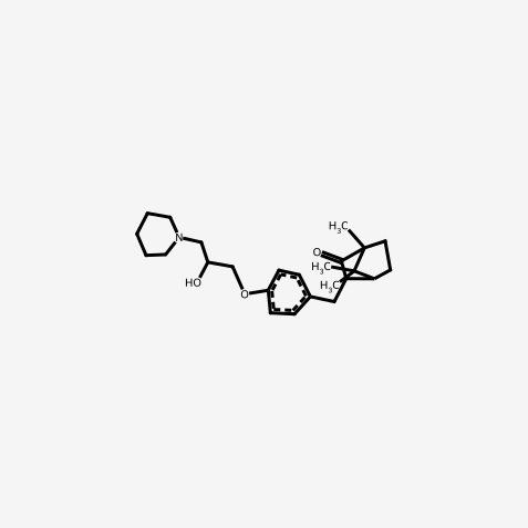 CC12CCC(C(Cc3ccc(OCC(O)CN4CCCCC4)cc3)C1=O)C2(C)C